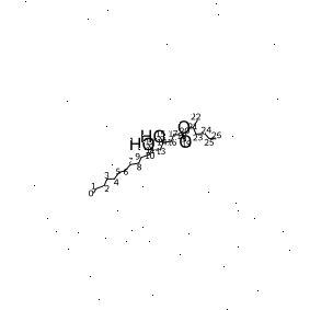 CCCCCCCCCCCC(O)CC(O)CCC(=O)OC(C)CCCC